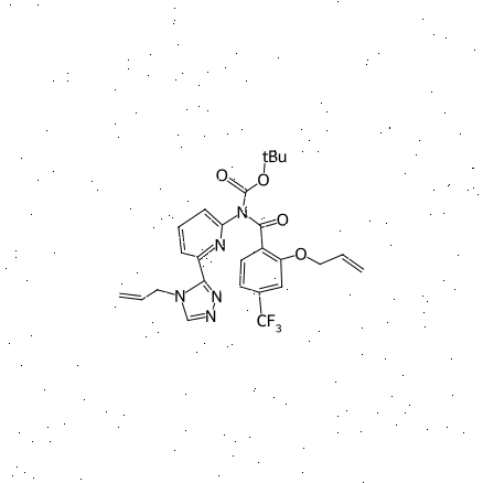 C=CCOc1cc(C(F)(F)F)ccc1C(=O)N(C(=O)OC(C)(C)C)c1cccc(-c2nncn2CC=C)n1